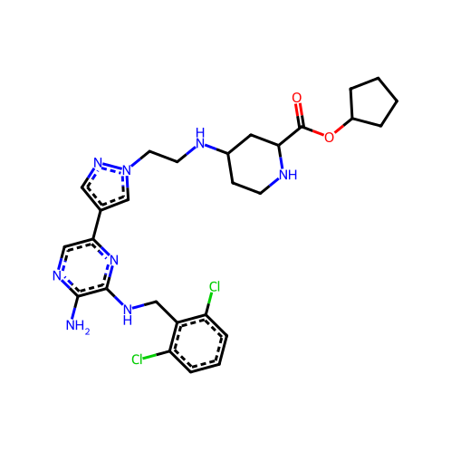 Nc1ncc(-c2cnn(CCNC3CCNC(C(=O)OC4CCCC4)C3)c2)nc1NCc1c(Cl)cccc1Cl